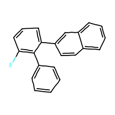 Fc1cccc(-c2ccc3ccccc3c2)c1-c1ccccc1